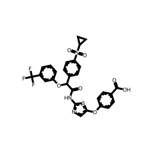 O=C(O)c1ccc(Oc2cnc(NC(=O)C(Oc3cccc(C(F)(F)F)c3)c3ccc(S(=O)(=O)C4CC4)cc3)s2)cc1